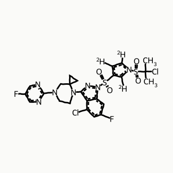 [2H]c1c(S(=O)(=O)n2nc(N3CCN(c4ncc(F)cn4)CC34CC4)c3c(Cl)cc(F)cc32)c([2H])n(S(=O)(=O)C(C)(C)Cl)c1[2H]